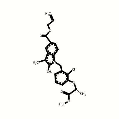 C=CCOC(=O)c1ccc2c(c1)c(C)c(C)n2Cc1cccc(O[C@H](C)C(=O)OC)c1Cl